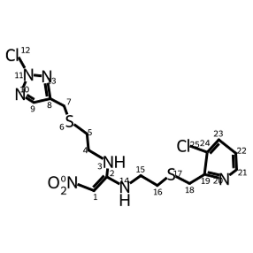 O=[N+]([O-])C=C(NCCSCc1cnn(Cl)n1)NCCSCc1ncccc1Cl